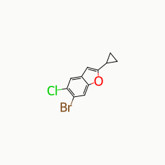 Clc1cc2cc(C3CC3)oc2cc1Br